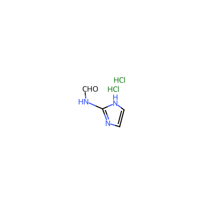 Cl.Cl.O=CNc1ncc[nH]1